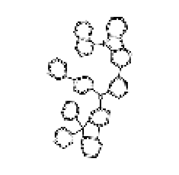 c1ccc(-c2ccc(N(c3cccc(-c4ccc5c6ccccc6n(-c6cccc7ccccc67)c5c4)c3)c3ccc4c(c3)C(c3ccccc3)(c3ccccc3)c3ccccc3-4)cc2)cc1